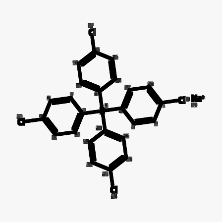 Clc1ccc([B-](c2ccc(Cl)cc2)(c2ccc(Cl)cc2)c2ccc(Cl)cc2)cc1.[Na+]